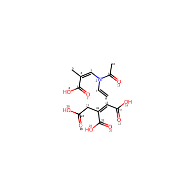 C=CN(C=C(C)C(=O)O)C(C)=O.O=C(O)C=C(CC(=O)O)C(=O)O